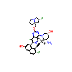 CC(C)[Si](C#Cc1c(F)ccc2cc(O)cc(-c3ncc4c(N5C[C@@H](N)C[C@@H](O)C5)nc(OC[C@@]56CCCN5C[C@H](F)C6)nc4c3F)c12)(C(C)C)C(C)C